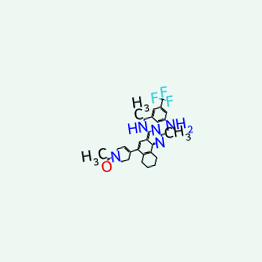 CC(=O)N1CC=C(c2cc3c(NC(C)c4cc(N)cc(C(F)(F)F)c4)nc(C)nc3c3c2CCCC3)CC1